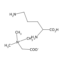 C[N+](C)(C)CC(=O)[O-].NCCCC(N)C(=O)O